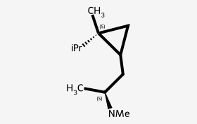 CN[C@@H](C)CC1C[C@@]1(C)C(C)C